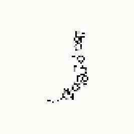 CCCCCc1cnc(-c2ccc(C(F)(F)Oc3ccc(-c4ccc(-c5ccc(OC(F)(F)F)cc5)c(F)c4)c(F)c3)cc2)nc1